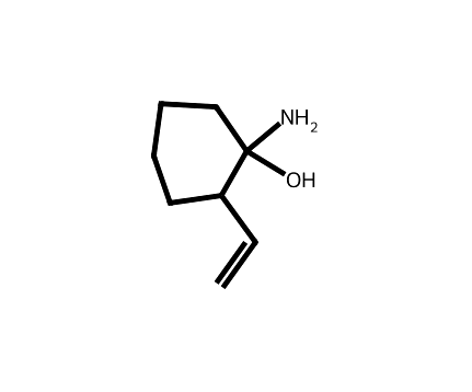 C=CC1CCCCC1(N)O